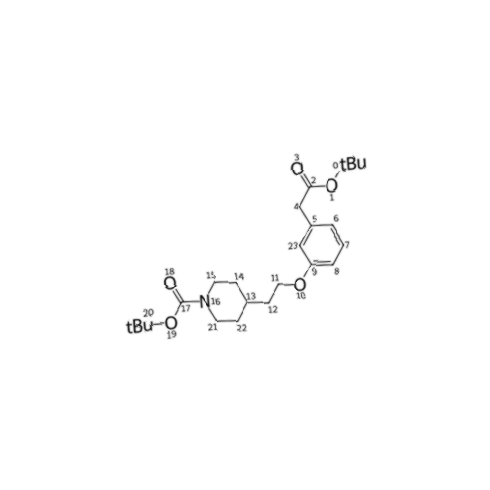 CC(C)(C)OC(=O)Cc1cccc(OCCC2CCN(C(=O)OC(C)(C)C)CC2)c1